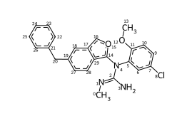 CN=C(N)N(c1cc(Cl)ccc1OC)c1occ2cc(Cc3ccccc3)ccc12